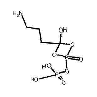 NCCCC1(O)OP(=O)(OP(=O)(O)O)O1